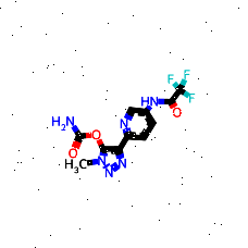 Cn1nnc(-c2ccc(NC(=O)C(F)(F)F)cn2)c1OC(N)=O